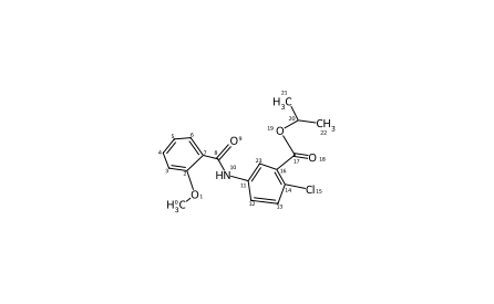 COc1ccccc1C(=O)Nc1ccc(Cl)c(C(=O)OC(C)C)c1